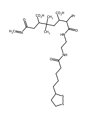 C=NC(=O)CC(C(=O)O)C(C)(C)CC(C(=O)O)C(C(=O)NCCNC(=O)CCCCC1CCSS1)C(C)C